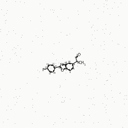 CC(C=O)c1ccc2oc(-c3ccc(F)cc3)nc2c1